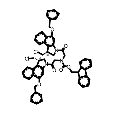 O=C(OCC1c2ccccc2-c2ccccc21)N(CC(=O)N1C[C@@H](CCl)c2c1cc(OCc1ccccc1)c1ccccc21)CC(=O)N1C[C@@H](CCl)c2c1cc(OCc1ccccc1)c1ccccc21